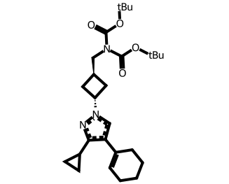 CC(C)(C)OC(=O)N(C[C@H]1C[C@H](n2cc(C3=CCCCC3)c(C3CC3)n2)C1)C(=O)OC(C)(C)C